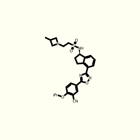 CC1CN(CCS(=O)(=O)N[C@@H]2CCc3c(-c4noc(-c5ccc(OC(C)C)c(C#N)c5)n4)cccc32)C1